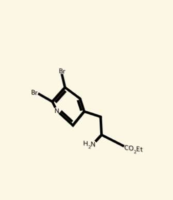 CCOC(=O)C(N)Cc1cnc(Br)c(Br)c1